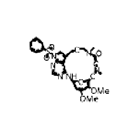 COc1cc2cc(c1OC)CN(C)CC(=O)N(C)CCCc1cn(S(=O)(=O)c3ccccc3)c3ncnc(c13)N2